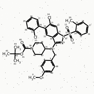 COc1ccc(CN(c2nn(S(=O)(=O)c3ccccc3C)c3cc(Cl)c(-c4ccccc4Cl)cc23)C2CCN(C(=O)OC(C)(C)C)CC2)cc1